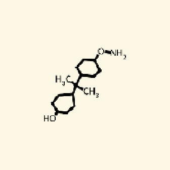 CC(C)(C1CCC(O)CC1)C1CCC(ON)CC1